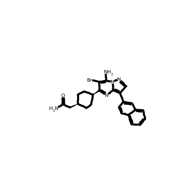 NC(=O)C[C@H]1CC[C@@H](c2nc3c(-c4ccc5ccccc5c4)cnn3c(N)c2Br)CC1